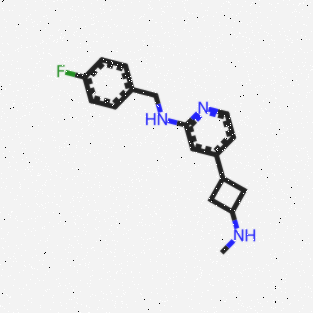 CNC1CC(c2ccnc(NCc3ccc(F)cc3)c2)C1